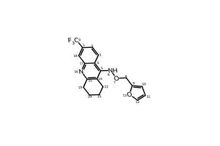 FC(F)(F)c1ccc2c(NOCc3ccco3)c3c(nc2c1)CCCC3